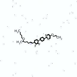 C=CCOc1cnc(-c2ccc(-c3ccc(/C=C/CCCC(C)OCCCCC)c(F)c3F)cc2)nc1